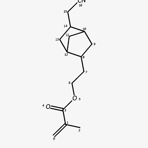 C=C(C)C(=O)OCCC1CC2CC1CC2CC#N